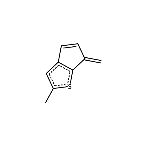 C=C1C=Cc2cc(C)sc21